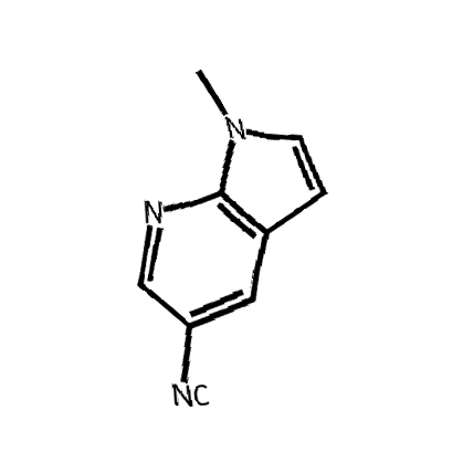 [C-]#[N+]c1cnc2c(ccn2C)c1